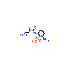 CNCCN(C)C(=O)Nc1cccc(N)c1S(=O)(=O)O